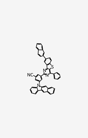 N#Cc1cc(-c2nc(-c3ccccc3)c3sc4ccc(-c5ccc6ccccc6c5)cc4c3n2)cc(-n2c3ccccc3c3cc4ccccc4cc32)c1